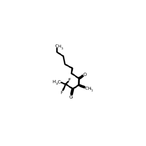 C=C(C(=O)CCCCCC)C(=O)C(C)(F)F